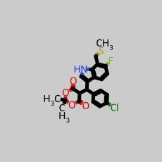 CSCc1c(F)ccc2c(C(c3ccc(Cl)cc3)C3C(=O)OC(C)(C)OC3=O)c[nH]c12